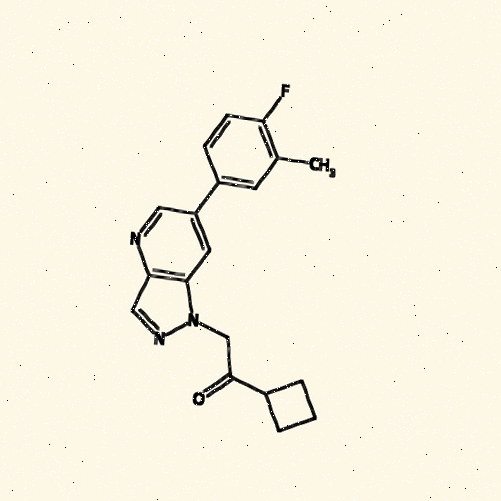 Cc1cc(-c2cnc3cnn(CC(=O)C4CCC4)c3c2)ccc1F